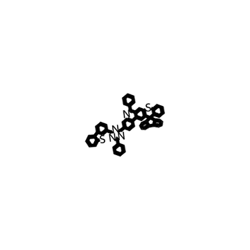 c1ccc(-c2nc(-c3ccc4c(c3)nc(-c3ccccc3)c3cc5c(cc34)C3(c4ccccc4S5)c4ccccc4-c4ccccc43)nc(-c3cccc4c3sc3ccccc34)n2)cc1